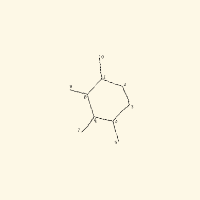 [CH2]C1CCC(C)C(C)C1C